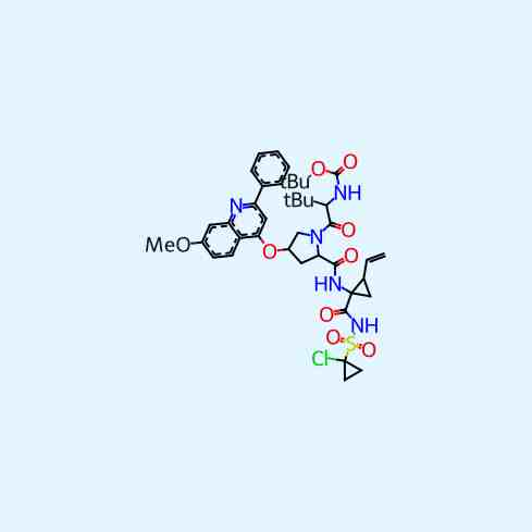 C=CC1CC1(NC(=O)C1CC(Oc2cc(-c3ccccc3)nc3cc(OC)ccc23)CN1C(=O)C(NC(=O)OC(C)(C)C)C(C)(C)C)C(=O)NS(=O)(=O)C1(Cl)CC1